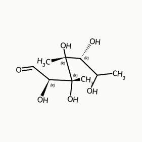 CC(O)[C@@H](O)[C@@](C)(O)[C@](C)(O)[C@@H](O)C=O